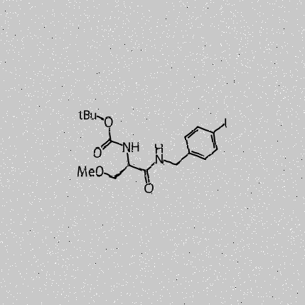 COC[C@@H](NC(=O)OC(C)(C)C)C(=O)NCc1ccc(I)cc1